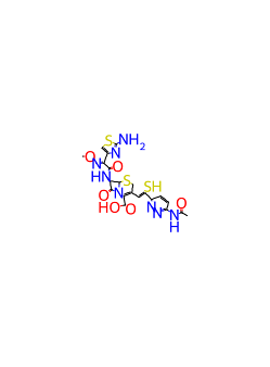 CON=C(C(=O)NC1C(=O)N2C(C(=O)O)=C(C=C(S)c3ccc(NC(C)=O)nn3)CSC12)c1csc(N)n1